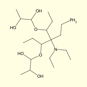 CCC(OC(O)C(C)O)C(CCP)(C(CC)OC(O)C(C)O)N(CC)CC